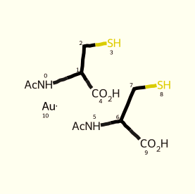 CC(=O)NC(CS)C(=O)O.CC(=O)NC(CS)C(=O)O.[Au]